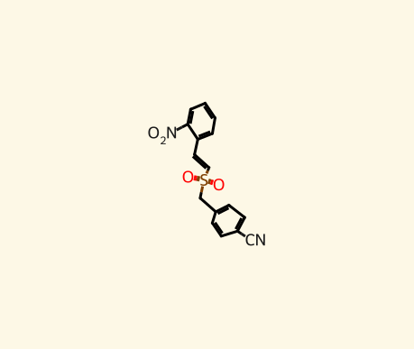 N#Cc1ccc(CS(=O)(=O)/C=C/c2ccccc2[N+](=O)[O-])cc1